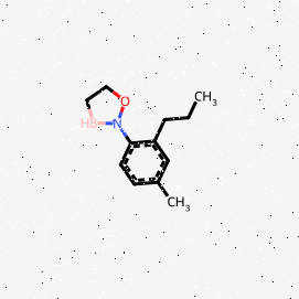 CCCc1cc(C)ccc1N1BCCO1